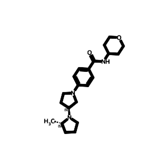 C[C@H]1CCCN1[C@H]1CCN(c2ccc(C(=O)NC3CCOCC3)cc2)C1